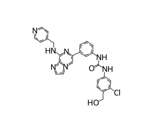 O=C(Nc1cccc(-c2cn3ccnc3c(NCc3ccncc3)n2)c1)Nc1ccc(CO)c(Cl)c1